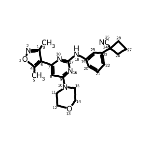 Cc1noc(C)c1-c1cc(N2CCOCC2)nc(Nc2cccc(C3(C#N)CCC3)c2)n1